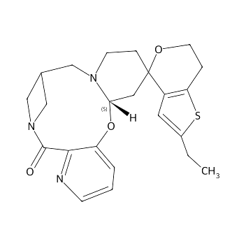 CCc1cc2c(s1)CCOC21CCN2CC3CN(C3)C(=O)c3ncccc3O[C@H]2C1